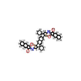 O=c1c(=Nc2cc3c(s2)C2=CC4C=C5C(=CC4C=C2C32CCCCC2)c2sc(N=c3c(=O)c4cc6ccccc6cc4c3=O)cc2C52CCCCC2)c(=O)c2cc3ccccc3cc12